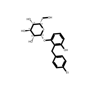 CCc1ccc(Cc2c(O)cccc2O[C@H]2S[C@@H](CO)[C@@H](O)[C@H](O)[C@H]2O)cc1